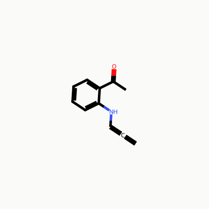 C=C=CNc1ccccc1C(C)=O